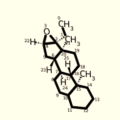 CC[C@@]12O[C@@H]1C[C@H]1[C@@H]3CCC4CCCC[C@]4(C)[C@H]3CC[C@@]12C